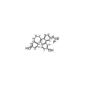 Oc1ccc(C2=C(c3ccc(SC(F)F)cc3)CCCc3cc(O)ccc32)cc1